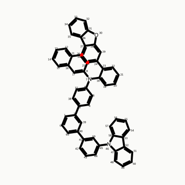 c1cc(-c2ccc(N(c3ccc4ccccc4c3)c3ccccc3-c3ccc4c(c3)oc3ccccc34)cc2)cc(-c2cccc(-n3c4ccccc4c4ccccc43)c2)c1